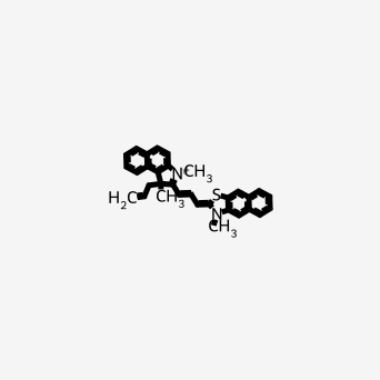 C=CCC1(C)C(/C=C/C=C2\Sc3cc4ccccc4cc3N2C)=[N+](C)c2ccc3ccccc3c21